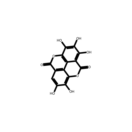 O=c1oc2c(O)c(O)c(O)c3c(=O)oc4c(O)c(O)cc1c4c23